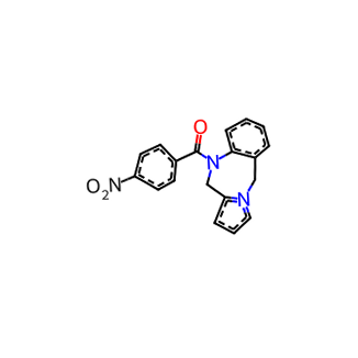 O=C(c1ccc([N+](=O)[O-])cc1)N1Cc2cccn2Cc2ccccc21